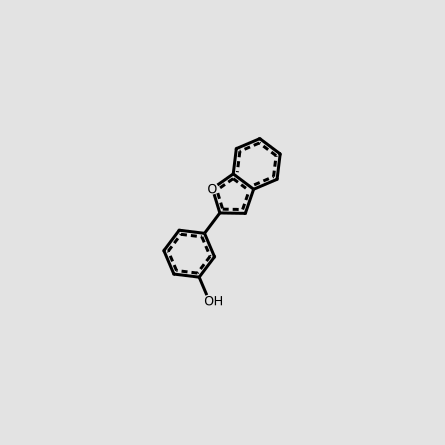 Oc1cccc(-c2cc3ccccc3o2)c1